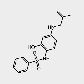 C=C(C)CNc1ccc(NS(=O)(=O)c2ccccc2)c(O)c1